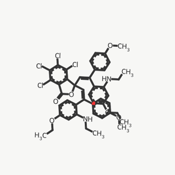 CCNc1cc(OCC)ccc1C(=CC1(C=C(c2ccc(OC)cc2)c2ccc(OCC)cc2NCC)OC(=O)c2c(Cl)c(Cl)c(Cl)c(Cl)c21)c1ccc(OC)cc1